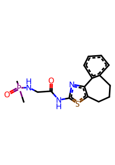 CP(C)(=O)NCC(=O)Nc1nc2c(s1)CCCc1ccccc1-2